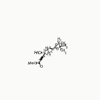 COC(=O)C#C[C@]1(O)C[C@H]2CC(B3OC(C)(C)C(C)(C)O3)=C[C@H]2C1